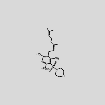 CCCCCc1cc(O)c(CC=C(C)CCC=C(C)C)c(O)c1S(=O)(=O)N1CCOCC1